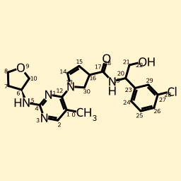 Cc1cnc(N[C@H]2CCOC2)nc1N1C=CC(C(=O)NC(CO)c2cccc(Cl)c2)C1